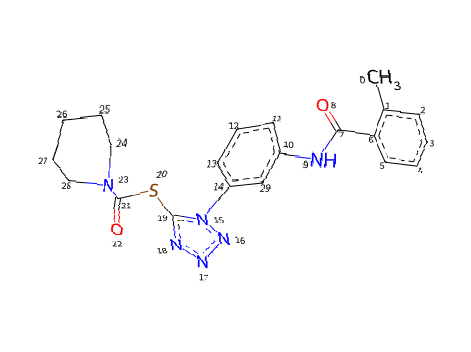 Cc1ccccc1C(=O)Nc1cccc(-n2nnnc2SC(=O)N2CCCCC2)c1